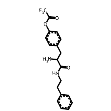 NC(Cc1ccc(OC(=O)C(F)(F)F)cc1)C(=O)NCCc1ccccc1